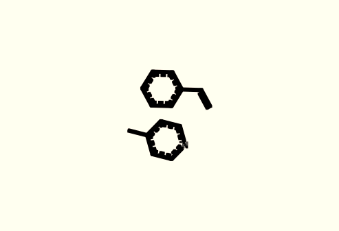 C=Cc1ccccc1.Cc1ccncc1